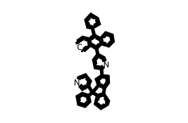 c1ccc(-c2c3ccccc3c(-c3ccc(-c4ccc5c(c4)C(c4ccccc4)(c4cccnc4)c4ccccc4-5)nc3)c3ccccc23)cc1